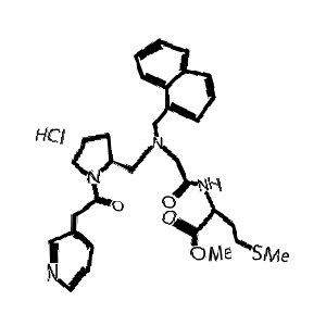 COC(=O)C(CCSC)NC(=O)CN(Cc1cccc2ccccc12)C[C@@H]1CCCN1C(=O)Cc1cccnc1.Cl